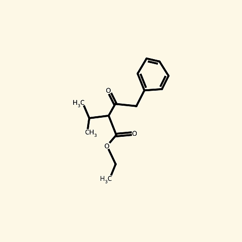 CCOC(=O)C(C(=O)Cc1ccccc1)C(C)C